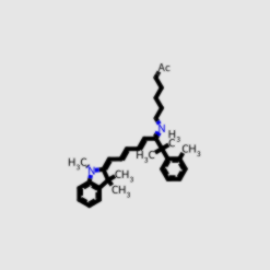 CC(=O)CCCCC\N=C(/C=C/C=C/C=C1/N(C)c2ccccc2C1(C)C)C(C)(C)c1ccccc1C